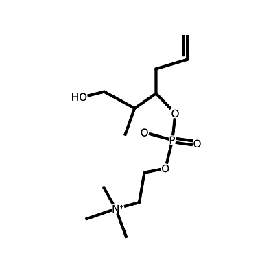 C=CCC(OP(=O)([O-])OCC[N+](C)(C)C)C(C)CO